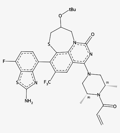 C=CC(=O)N1[C@H](C)CN(c2nc(=O)n3c4c(c(-c5ccc(F)c6sc(N)nc56)c(C(F)(F)F)cc24)SCC(OC(C)(C)C)C3)C[C@@H]1C